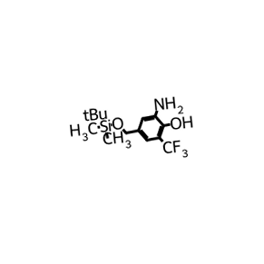 CC(C)(C)[Si](C)(C)OCc1cc(N)c(O)c(C(F)(F)F)c1